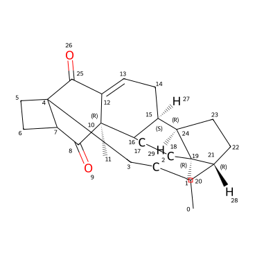 CC1CCC23CCC2C(=O)[C@@]2(C)C(=CC[C@@H]4C2CC[C@]2(C)[C@@H]1CC[C@H]42)C3=O